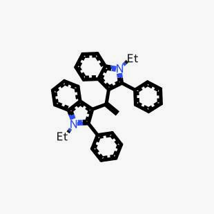 C=C(c1c(-c2ccccc2)n(CC)c2ccccc12)c1c(-c2ccccc2)n(CC)c2ccccc12